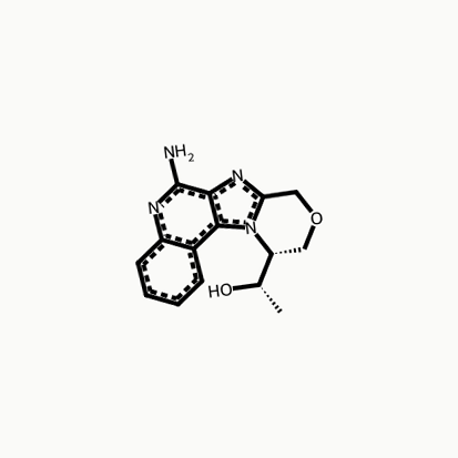 C[C@H](O)[C@H]1COCc2nc3c(N)nc4ccccc4c3n21